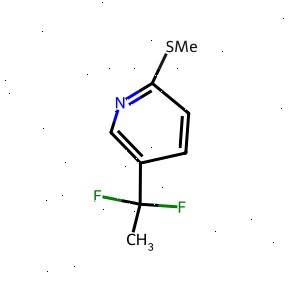 CSc1ccc(C(C)(F)F)cn1